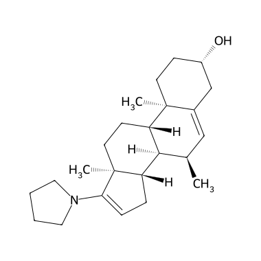 C[C@@H]1C=C2C[C@@H](O)CC[C@]2(C)[C@H]2CC[C@]3(C)C(N4CCCC4)=CC[C@H]3[C@H]12